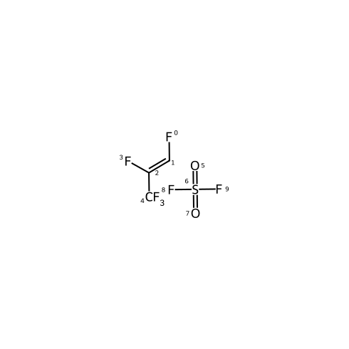 FC=C(F)C(F)(F)F.O=S(=O)(F)F